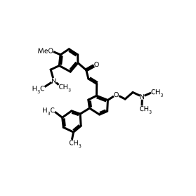 COc1ccc(C(=O)C=Cc2cc(-c3cc(C)cc(C)c3)ccc2OCCN(C)C)cc1CN(C)C